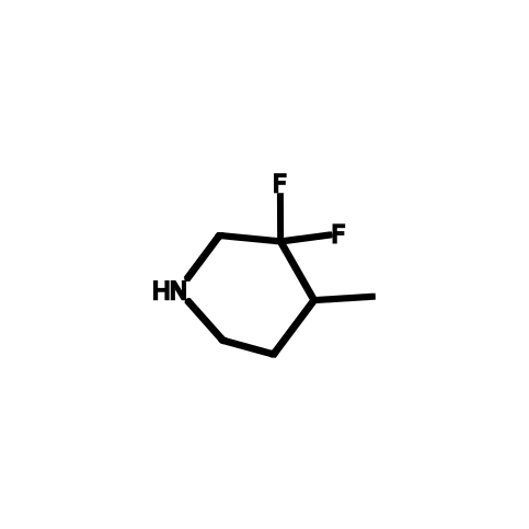 CC1CCNCC1(F)F